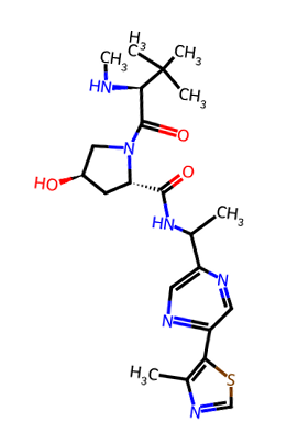 CN[C@H](C(=O)N1C[C@H](O)C[C@H]1C(=O)NC(C)c1cnc(-c2scnc2C)cn1)C(C)(C)C